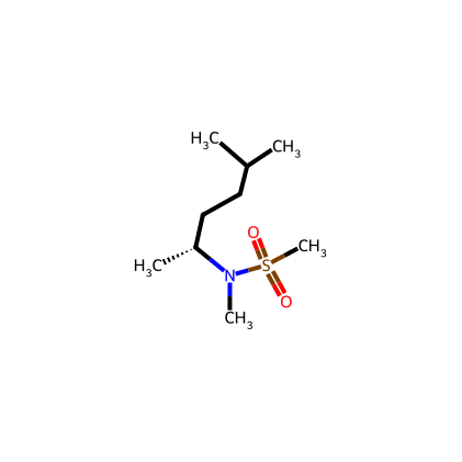 CC(C)CC[C@@H](C)N(C)S(C)(=O)=O